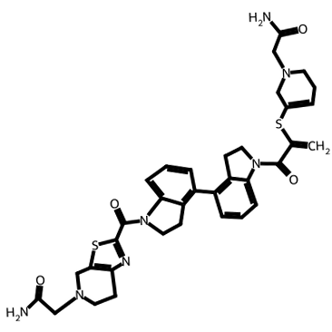 C=C(SC1=CCCN(CC(N)=O)C1)C(=O)N1CCc2c(-c3cccc4c3CCN4C(=O)c3nc4c(s3)CN(CC(N)=O)CC4)cccc21